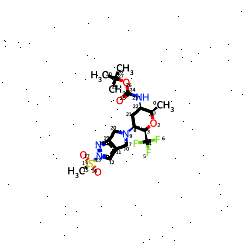 C[C@H]1O[C@@H](C(F)(F)F)[C@@H](N2Cc3cn(S(C)(=O)=O)nc3C2)C[C@@H]1NC(=O)OC(C)(C)C